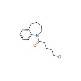 O=C(CCCCCl)N1CCCCc2ccccc21